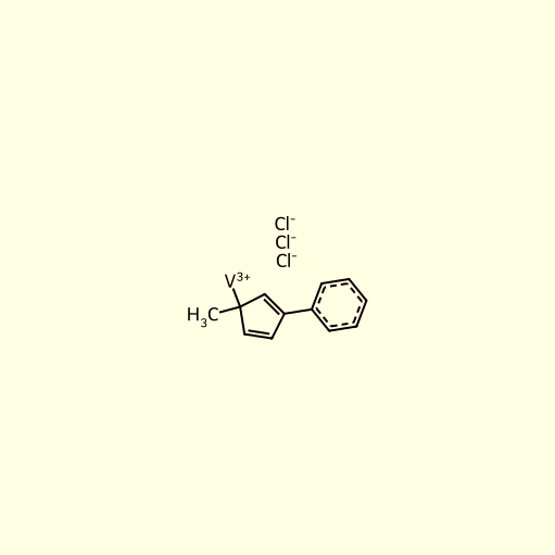 C[C]1([V+3])C=CC(c2ccccc2)=C1.[Cl-].[Cl-].[Cl-]